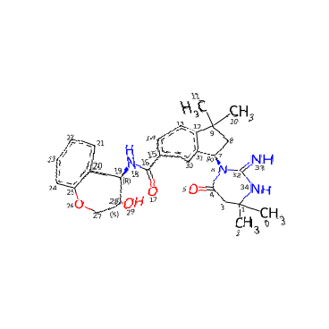 CC1(C)CC(=O)N([C@@H]2CC(C)(C)c3ccc(C(=O)N[C@@H]4c5ccccc5OC[C@H]4O)cc32)C(=N)N1